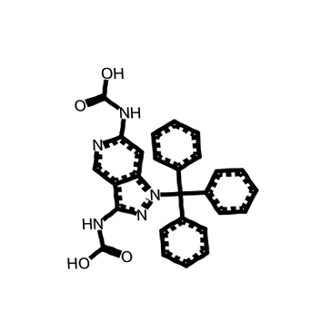 O=C(O)Nc1cc2c(cn1)c(NC(=O)O)nn2C(c1ccccc1)(c1ccccc1)c1ccccc1